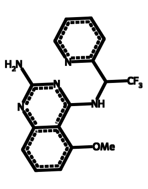 COc1cccc2nc(N)nc(NC(c3ccccn3)C(F)(F)F)c12